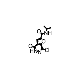 CC(C)NC(=O)c1cc2c(=O)[nH]nc(Cl)c2o1